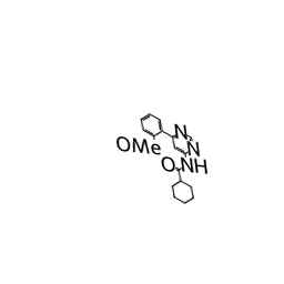 COc1ccccc1-c1cc(NC(=O)C2CCCCC2)ncn1